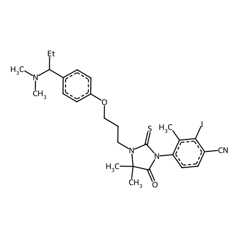 CCC(c1ccc(OCCCN2C(=S)N(c3ccc(C#N)c(I)c3C)C(=O)C2(C)C)cc1)N(C)C